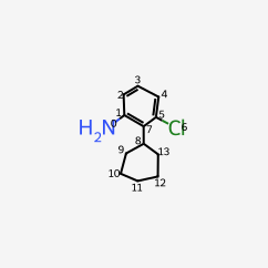 Nc1cccc(Cl)c1C1CCCCC1